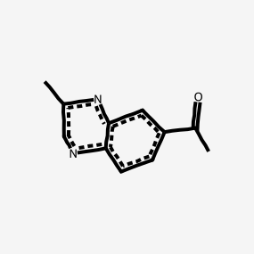 CC(=O)c1ccc2ncc(C)nc2c1